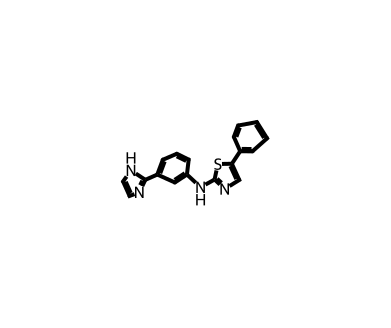 c1ccc(-c2cnc(Nc3cccc(-c4ncc[nH]4)c3)s2)cc1